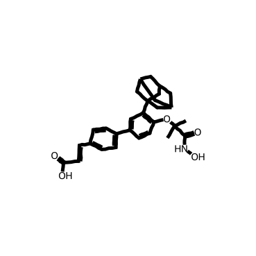 CC(C)(Oc1ccc(-c2ccc(/C=C/C(=O)O)cc2)cc1C12CC3CC(CC(C3)C1)C2)C(=O)NO